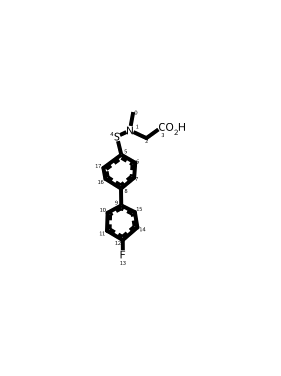 CN(CC(=O)O)Sc1ccc(-c2ccc(F)cc2)cc1